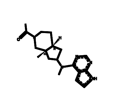 CC(=O)N1CC[C@H]2CC(N(C)c3ncnc4[nH]ccc34)C[C@@]2(C)C1